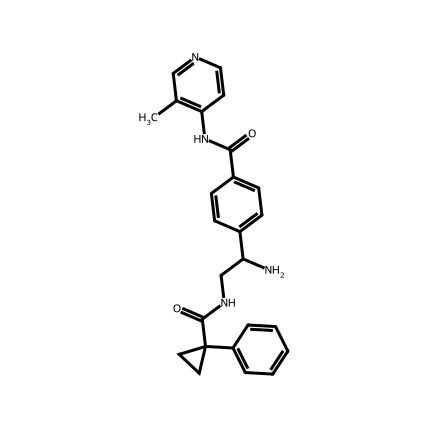 Cc1cnccc1NC(=O)c1ccc(C(N)CNC(=O)C2(c3ccccc3)CC2)cc1